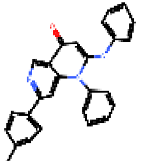 Cc1ccc(-c2cc3c(cn2)c(=O)cc(Nc2ccccc2)n3-c2ccccc2)cc1